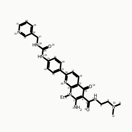 CCn1c(N)c(C(=O)NCCN(C)C)c(=O)c2ccc(-c3ccc(NC(=O)NCc4cccnc4)cc3)nc21